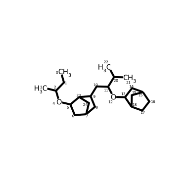 CCC(C)OC1CC2CC(CC(OC3CC4CCC3C4)C(C)C)C1C2